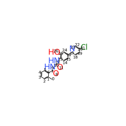 Cc1ccccc1C(=O)NC(=O)Nc1ccc(-c2ccc(Cl)cn2)cc1O